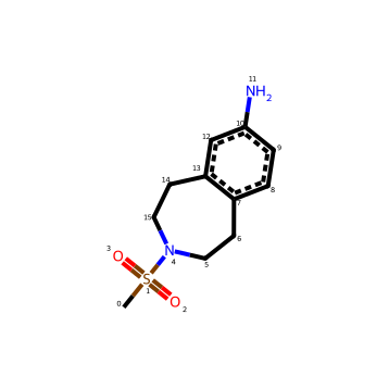 CS(=O)(=O)N1CCc2ccc(N)cc2CC1